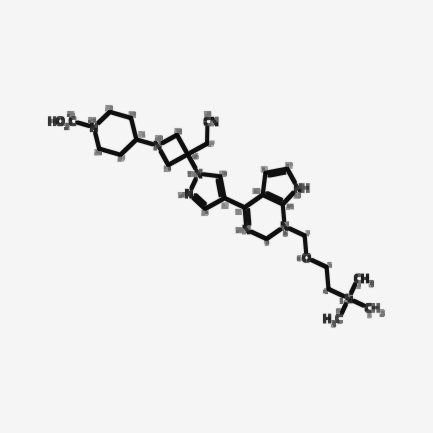 C[Si](C)(C)CCOCN1CN=C(c2cnn(C3(CC#N)CN(C4CCN(C(=O)O)CC4)C3)c2)c2cc[nH]c21